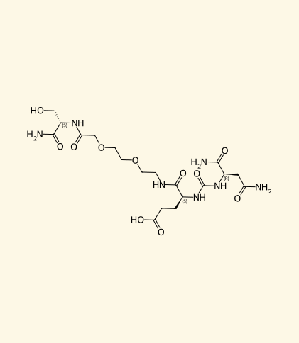 NC(=O)C[C@@H](NC(=O)N[C@@H](CCC(=O)O)C(=O)NCCOCCOCC(=O)N[C@@H](CO)C(N)=O)C(N)=O